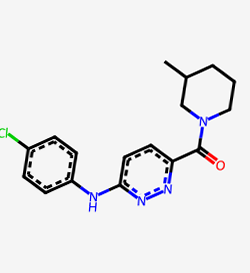 CC1CCCN(C(=O)c2ccc(Nc3ccc(Cl)cc3)nn2)C1